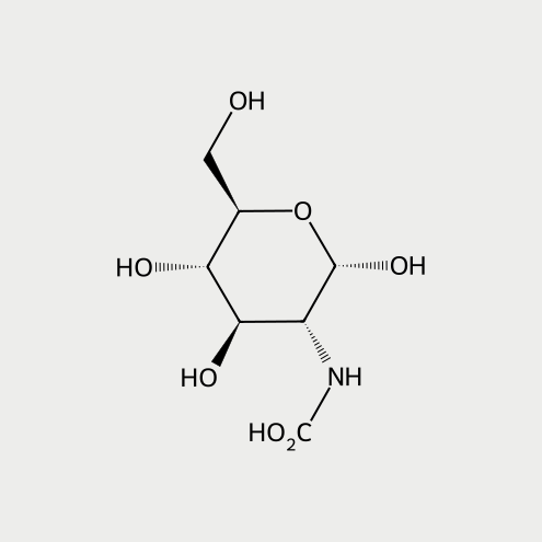 O=C(O)N[C@@H]1[C@@H](O)[C@H](O)[C@@H](CO)O[C@@H]1O